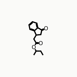 CCC(C)OC(=O)CC1CC(=O)c2ccccc21